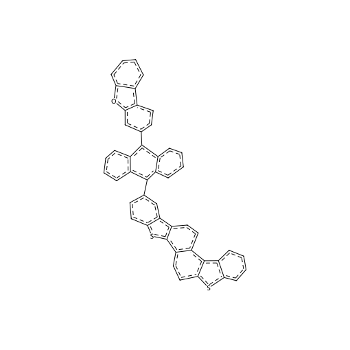 c1ccc2c(c1)oc1cc(-c3c4ccccc4c(-c4ccc5sc6c(ccc7c6ccc6sc8ccccc8c67)c5c4)c4ccccc34)ccc12